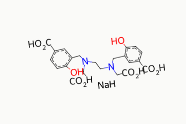 O=C(O)CN(CCN(CC(=O)O)Cc1cc(C(=O)O)ccc1O)Cc1cc(C(=O)O)ccc1O.[NaH]